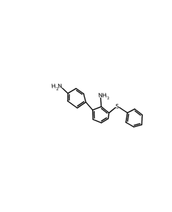 Nc1ccc(-c2cccc(Sc3ccccc3)c2N)cc1